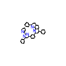 c1ccc(-c2cc(-c3cccc(-c4cc(-c5ccccc5)c5ccc6ccc(-c7ccccc7)nc6c5n4)c3)nc(-c3ccccn3)n2)cc1